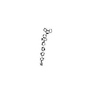 N#Cc1ccc(-c2ccc(-c3ccc(-c4ccc(-c5nc6ccc(-c7cc8ccccc8c8ccccc78)cc6o5)cc4)cc3)cc2)cc1